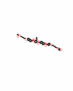 C=CC(=O)OCCCCCCOc1ccc2cc(C(=O)Oc3ccc(OC(=O)c4ccc5cc(OC(=O)c6ccc(OCCCCCCOCC7(C)COC7)cc6)ccc5c4)c(CCC)c3)ccc2c1